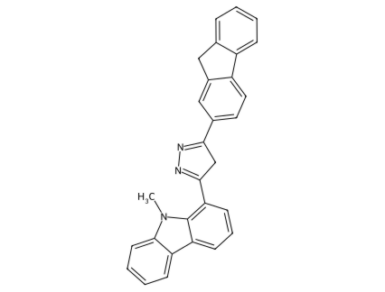 Cn1c2ccccc2c2cccc(C3=NN=C(c4ccc5c(c4)Cc4ccccc4-5)C3)c21